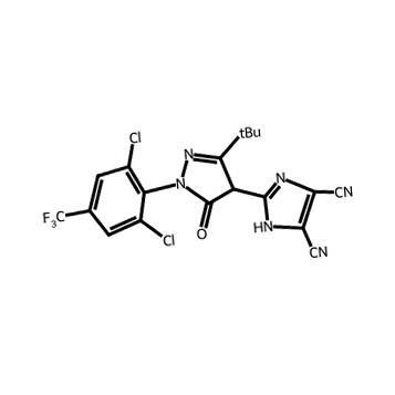 CC(C)(C)C1=NN(c2c(Cl)cc(C(F)(F)F)cc2Cl)C(=O)C1c1nc(C#N)c(C#N)[nH]1